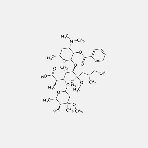 CO[C@](C)(C[C@@H](C)CO)[C@H](OC1O[C@H](C)C[C@H](N(C)C)[C@H]1OC(=O)c1ccccc1)[C@@H](C)[C@H](OC1C[C@@](C)(OC)[C@@H](O)[C@H](C)O1)[C@@H](C)C(=O)O